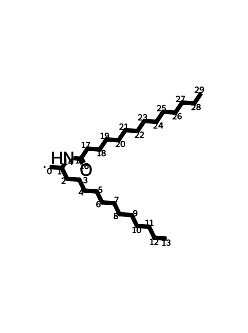 [CH2]C(CCCCCCCCCCCC)NC(=O)CCCCCCCCCCCCC